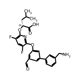 CC(C)C[C@@H](Oc1nc(Oc2cc(C=O)cc(-c3cccc(CN)c3)c2)c(F)cc1F)C(=O)O